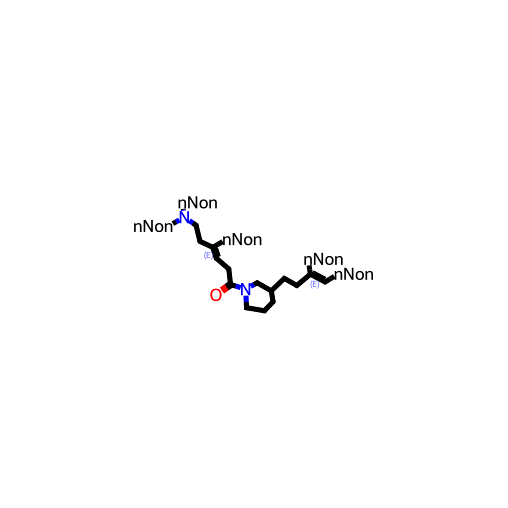 CCCCCCCCC/C=C(\CCCCCCCCC)CCC1CCCN(C(=O)C/C=C(\CCCCCCCCC)CCN(CCCCCCCCC)CCCCCCCCC)C1